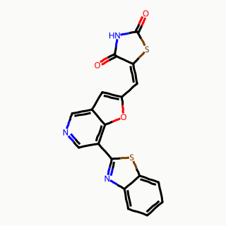 O=C1NC(=O)/C(=C\c2cc3cncc(-c4nc5ccccc5s4)c3o2)S1